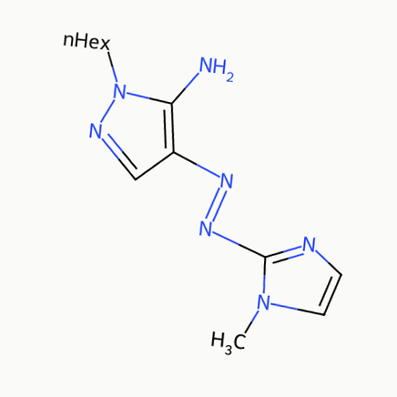 CCCCCCn1ncc(N=Nc2nccn2C)c1N